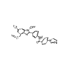 O=C(O)Cc1cc([N+](=O)[O-])cc2c1nc(-c1ccc(NC(=O)c3ccc(-n4ccnc4)cc3)cc1)n2O